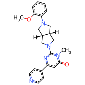 COc1ccccc1N1C[C@@H]2CN(c3nc(-c4ccncc4)cc(=O)n3C)C[C@@H]2C1